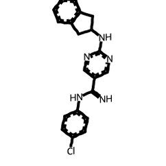 N=C(Nc1ccc(Cl)cc1)c1cnc(NC2Cc3ccccc3C2)nc1